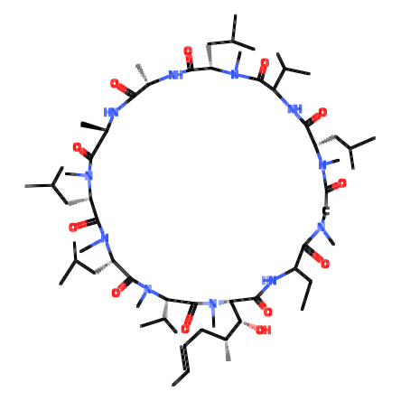 C/C=C/C[C@@H](C)[C@@H](O)[C@H]1C(=O)NC(CC)C(=O)N(C)CC(=O)N(C)[C@@H](CC(C)C)C(=O)NC(C(C)C)C(=O)N(C)[C@@H](CC(C)C)C(=O)N[C@@H](C)C(=O)N[C@H](C)C(=O)N(C)[C@@H](CC(C)C)C(=O)N(C)[C@@H](CC(C)C)C(=O)N(C)[C@@H](C(C)C)C(=O)N1C